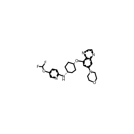 FC(F)Oc1ccc(N[C@H]2CC[C@@H](Oc3cc(N4CCOCC4)cc4nccnc34)CC2)nc1